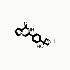 O=c1[nH]c(-c2ccc(C3(O)CNC3)cc2)cn2cccc12